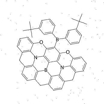 CC(C)(C)c1cccc(B(c2cccc(C(C)(C)C)c2)c2c3oc4cccc5c4n4c3c3c6c2oc2cccc7c2n6-c2c(ccc6c2B3c2c(ccc(c2-4)C5)C6)C7)c1